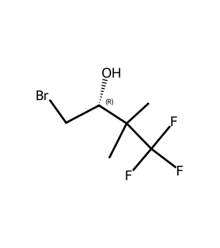 CC(C)([C@@H](O)CBr)C(F)(F)F